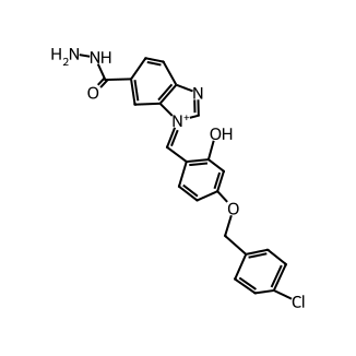 NNC(=O)c1ccc2c(c1)[N+](=Cc1ccc(OCc3ccc(Cl)cc3)cc1O)C=N2